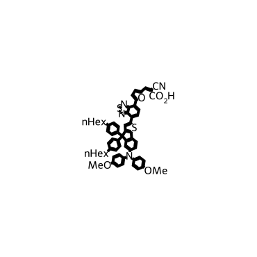 CCCCCCc1ccc(C2(c3ccc(CCCCCC)cc3)c3cc(N(c4ccc(OC)cc4)c4ccc(OC)cc4)ccc3-c3sc(-c4ccc(-c5ccc(C=C(C#N)C(=O)O)o5)c5nsnc45)cc32)cc1